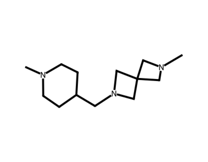 CN1CCC(CN2CC3(CN(C)C3)C2)CC1